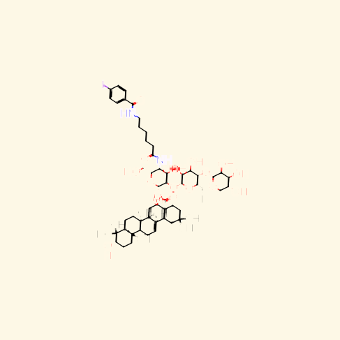 C[C@H]1O[C@@H](OC2C(O)[C@@H](NC(=O)CCCCCNC(=O)c3ccc(I)cc3)[C@@H](CO)O[C@H]2OC(=O)[C@]23CCC(C)(C)CC2C2=CCC4C5(C)CC[C@H](O)C(C)(C)C5CC[C@@]4(C)[C@]2(C)C[C@H]3O)C(O)C(O)[C@H]1O[C@@H]1OC[C@@H](O)C(O)C1O